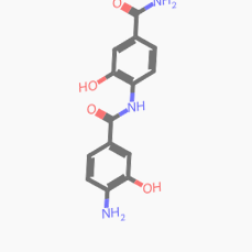 NC(=O)c1ccc(NC(=O)c2ccc(N)c(O)c2)c(O)c1